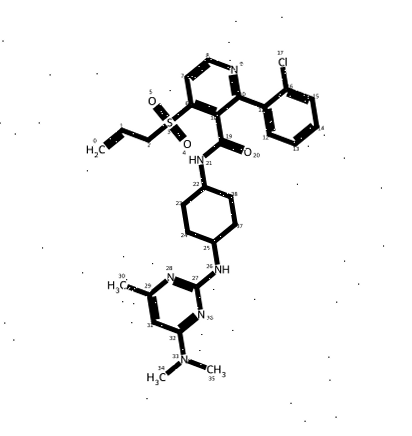 C=CCS(=O)(=O)c1ccnc(-c2ccccc2Cl)c1C(=O)NC1CCC(Nc2nc(C)cc(N(C)C)n2)CC1